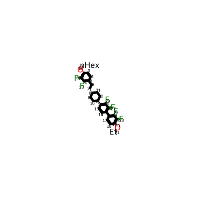 CCCCCCOc1ccc(CC[C@H]2CC[C@H](c3ccc(-c4ccc(OCC)c(F)c4F)c(F)c3F)CC2)c(F)c1F